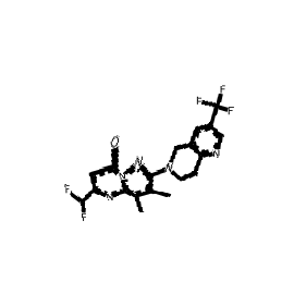 Cc1c(N2CCc3ncc(C(F)(F)F)cc3C2)nn2c(=O)cc(C(F)F)nc2c1C